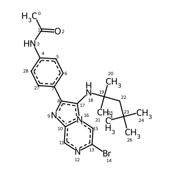 CC(=O)Nc1ccc(-c2nc3cnc(Br)cn3c2NC(C)(C)CC(C)(C)C)cc1